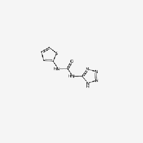 O=C(Nc1nnn[nH]1)Nc1cccs1